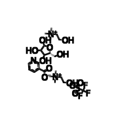 C[N+](C)(C)CCO.C[N+](C)(C)CCO.O=C([O-])c1cccnc1.O=S(=O)([O-])C(F)(F)F.OC[C@H]1OC(O)[C@H](O)[C@@H]1O